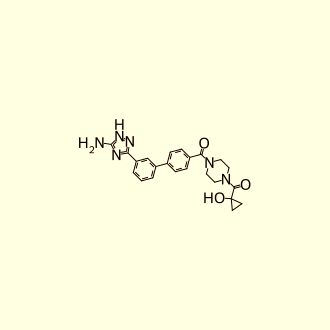 Nc1nc(-c2cccc(-c3ccc(C(=O)N4CCN(C(=O)C5(O)CC5)CC4)cc3)c2)n[nH]1